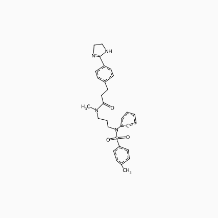 Cc1ccc(S(=O)(=O)N(CCCN(C)C(=O)CCc2ccc(C3=NCCN3)cc2)c2ccccc2)cc1